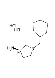 Cl.Cl.N[C@@H]1CCN(CC2CCCCC2)C1